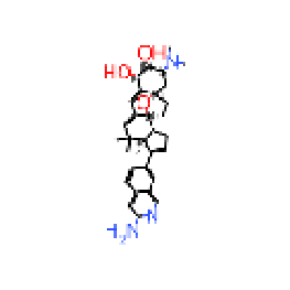 CN(C)[C@H]1C[C@@]23CC[C@@]4(O2)C(=CC(C)(C)[C@]2(C)C(c5ccc6cc(N)ncc6c5)=CCC42)C=C3[C@@H](O)[C@@H]1O